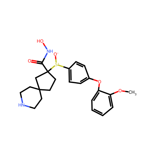 COc1ccccc1Oc1ccc([S+]([O-])C2(C(=O)NO)CCC3(CCNCC3)C2)cc1